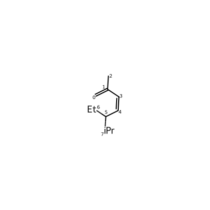 C=C(C)/C=C\C(CC)C(C)C